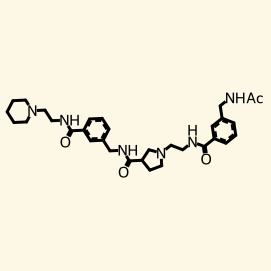 CC(=O)NCc1cccc(C(=O)NCCN2CCC(C(=O)NCc3cccc(C(=O)NCCN4CCCCC4)c3)C2)c1